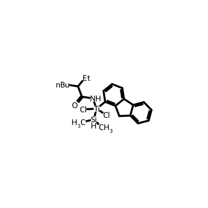 CCCCC(CC)C(=O)[NH][Ti]([Cl])([Cl])([c]1cccc2c1Cc1ccccc1-2)[SiH](C)C